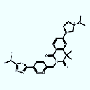 CN(C)[C@@H]1CCN(c2ccc3c(c2)C(C)(C)C(=O)N(Cc2ccc(-c4nnc(C(F)F)o4)cn2)C3=O)C1